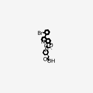 C[C@@H](Oc1ccc2c(-c3ccccc3Br)ccnc2c1)C(=O)N1CCC[C@H](CC(=O)O)C1